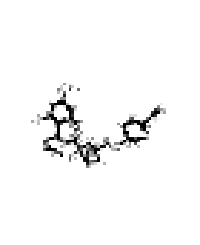 Cc1cc(F)c(C2CC=NN2C(=O)[C@H]2CC3(COc4cnc(C#N)cn4)CC2C3)c(F)c1